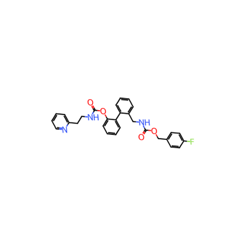 O=C(NCc1ccccc1-c1ccccc1OC(=O)NCCc1ccccn1)OCc1ccc(F)cc1